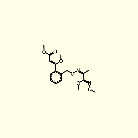 CON=C(OC)C(C)=NOCc1ccccc1C(=CC(=O)OC)OC